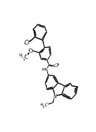 CCn1c2ccccc2c2cc(NC(=O)c3ccc(-c4ccccc4Cl)c(OC)c3)ccc21